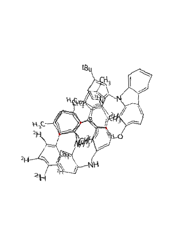 [2H]c1c([2H])c([2H])c(-c2cccc(-c3c([2H])c([2H])c([2H])c([2H])c3[2H])c2Nc2ccccc2Nc2cc(Oc3ccc4c5ccccc5n(-c5cc(C(C)(C)C)ccn5)c4c3)cc(B(c3c(C)cc(C)cc3C)c3c(C)cc(C)cc3C)c2)c([2H])c1[2H]